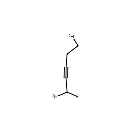 [2H]CCC#CC([2H])Br